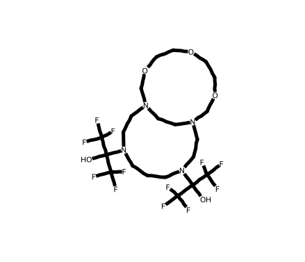 OC(N1CCCN(C(O)(C(F)(F)F)C(F)(F)F)CCN2CCN(CC1)COCCOCCOC2)(C(F)(F)F)C(F)(F)F